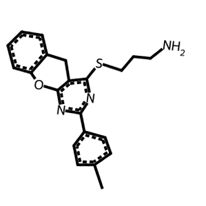 Cc1ccc(-c2nc3c(c(SCCCN)n2)Cc2ccccc2O3)cc1